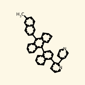 Cc1ccc2cc(-c3c4ccccc4c(-c4ccc(-c5cccnc5-c5ccncc5)c5ccccc45)c4ccccc34)ccc2c1